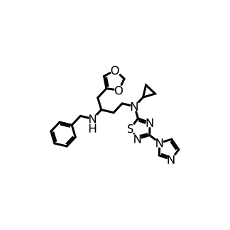 C1=C(CC(CCN(c2nc(-n3ccnc3)ns2)C2CC2)NCc2ccccc2)OCO1